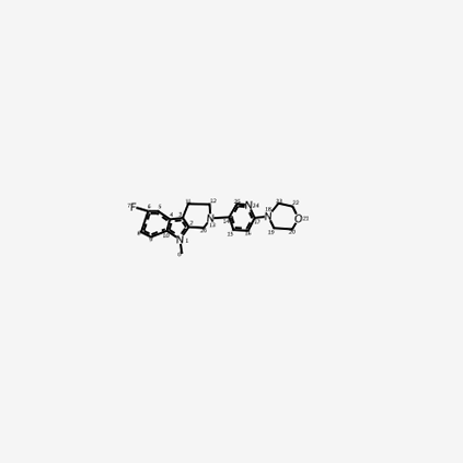 Cn1c2c(c3cc(F)ccc31)CCN(c1ccc(N3CCOCC3)nc1)C2